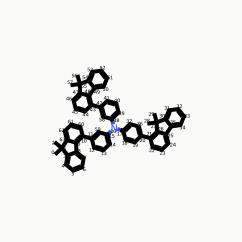 CC1(C)c2ccccc2-c2c(-c3cccc(N(c4ccc(-c5cccc6c5C(C)(C)c5ccccc5-6)cc4)c4cccc(-c5cccc6c5-c5ccccc5C6(C)C)c4)c3)cccc21